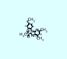 [CH2]Cc1ccc(-n2c(S(C)(=O)=O)nc3c(C)cc(C)nc32)cc1